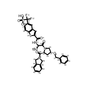 CC(C)(C)C(NC(=O)c1cc2cc(C(F)(F)P(=O)(O)O)ccc2s1)C(=O)N1C[C@H](OCc2ccccc2)C[C@H]1C(=O)N1Cc2ccccc2C1